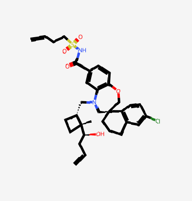 C=CCCS(=O)(=O)NC(=O)c1ccc2c(c1)N(C[C@H]1CC[C@@]1(C)[C@@H](O)CC=C)C[C@@]1(CCCc3cc(Cl)ccc31)CO2